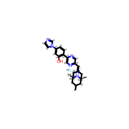 CC1C[C@H]2N[C@](C)(C/C(=C/c3cnc(-c4ccc(-n5ccnc5)cc4O)cn3)[C@H]2F)C1